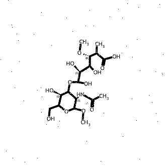 COC1OC(CO)[C@@H](O)C(OC(O)[C@@H](O)C(O)[C@H](OC)C(C)C(=O)O)[C@@H]1NC(C)=O